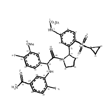 CCOC(=O)Nc1ccc(S(=O)(=O)C2CC2)c(C2CCCN2C(=O)C(Nc2cc(C(N)=O)ccc2F)c2ccc(F)c(OC)c2)c1